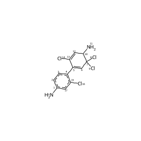 Nc1ccc(C2=CC(Cl)(Cl)C(N)C=C2Cl)c(Cl)c1